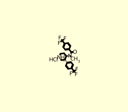 CN(C(=O)c1ccc(C(F)(F)F)cc1)[C@@H]1CCNC[C@H]1c1ccc(C(F)(F)F)cc1.Cl